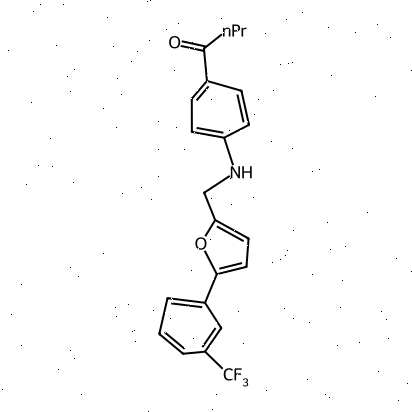 CCCC(=O)c1ccc(NCc2ccc(-c3cccc(C(F)(F)F)c3)o2)cc1